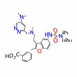 CCCCN(C(C)C)S(=O)(=O)Nc1ccc2oc(C)c(CCN(C)Cc3cc(N(C)C)cnn3)c2c1.O=C(O)c1ccccc1